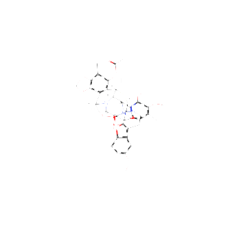 COc1ccc2oc3c(c2c1)CCN[C@@]31CS[C@@H]2c3c(OC(C)=O)c(C)c4c(c3[C@H](COC1=O)N1[C@@H]2[C@H]2c3c(cc(C)c(OC)c3O)C[C@@H]([C@@H]1O)N2C)OCO4